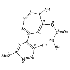 COc1cc(C2=CC=CC(O)C(OC(=O)OC(C)(C)C)=C2)c(F)cn1